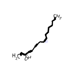 C=CCCCCC/C=C\CC#CC#C[C@H](O)C=C